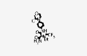 CCN(CC(F)(F)F)[C@H](C(N)=O)C(=O)Nc1ccc(N2CCOCC2=O)cc1